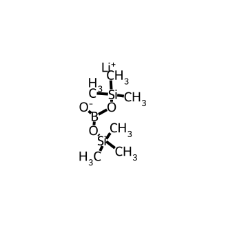 C[Si](C)(C)OB([O-])O[Si](C)(C)C.[Li+]